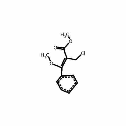 COC(=O)C(CCl)=C(OC)c1ccccc1